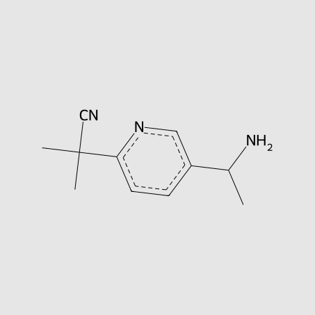 CC(N)c1ccc(C(C)(C)C#N)nc1